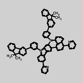 CC1(C)c2ccccc2-c2cc(-c3cccc(N4c5cc6c(cc5-c5ccc(-c7ccccn7)c7cccc4c57)c4cc(-c5ccccn5)ccc4n6-c4cccc(-c5ccc6c(c5)-c5ccccc5C6(C)C)c4)c3)ccc21